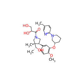 COc1ccc([C@@H]2CN(C(=O)[C@@H](O)CO)C[C@@]2(C)[C@@H](C)O)cc1OC1CCCN(c2ccc(C)cn2)C1